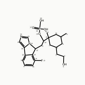 CC1CC(CCO)CC(C)(C(CC2c3c(F)cccc3-c3cncn32)OP(=O)(O)O)C1